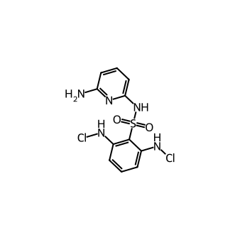 Nc1cccc(NS(=O)(=O)c2c(NCl)cccc2NCl)n1